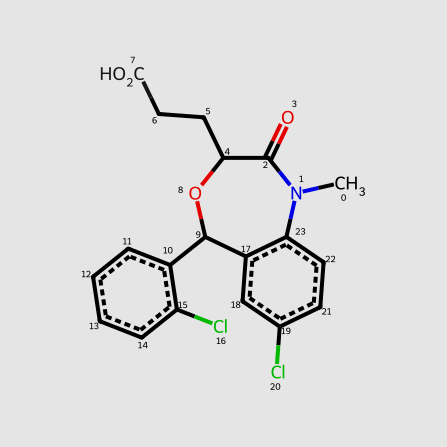 CN1C(=O)C(CCC(=O)O)OC(c2ccccc2Cl)c2cc(Cl)ccc21